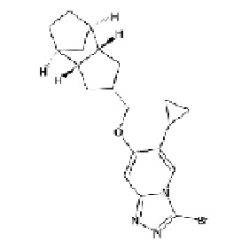 Brc1nnc2cc(OC[C@@H]3C[C@@H]4[C@H]5CC[C@H](C5)[C@@H]4C3)c(C3CC3)cn12